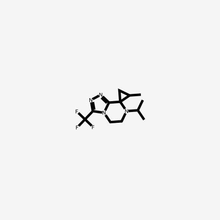 CC(C)N1CCn2c(C(F)(F)F)nnc2C12CC2C